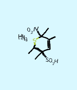 CC1=CC(C)(S(=O)(=O)O)C(C)SC1(C)[N+](=O)[O-].[NaH]